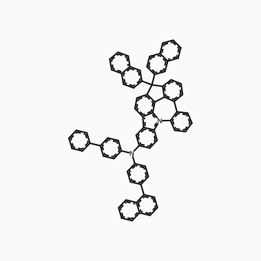 c1ccc(-c2ccc(N(c3ccc(-c4cccc5ccccc45)cc3)c3ccc4c(c3)c3ccc5c6c3n4-c3ccccc3-c3cccc(c3-6)C5(c3ccc4ccccc4c3)c3ccc4ccccc4c3)cc2)cc1